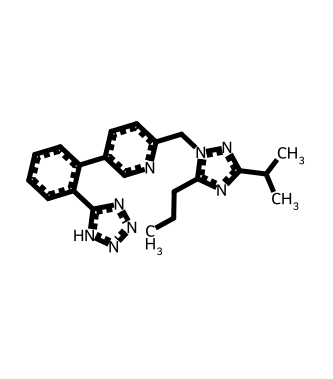 CCCc1nc(C(C)C)nn1Cc1ccc(-c2ccccc2-c2nnn[nH]2)cn1